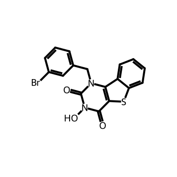 O=c1c2sc3ccccc3c2n(Cc2cccc(Br)c2)c(=O)n1O